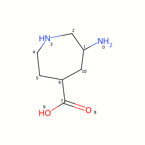 NC1CNCCC(C(=O)O)C1